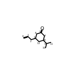 C=CCC1CC(=O)CC(C(C)C)C1